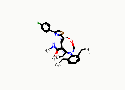 CC/C1=C(C(=O)NC)/C=C(/c2nc(-c3ccc(Cl)cc3)cs2)COCN1c1c(CC)cccc1CC